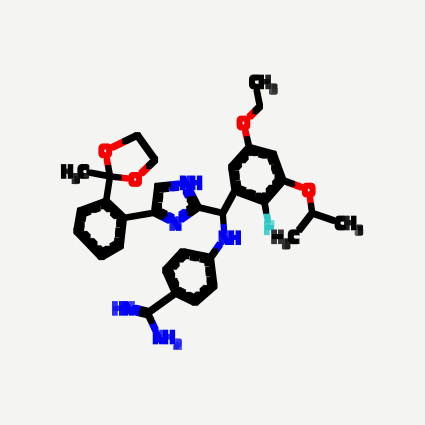 CCOc1cc(OC(C)C)c(F)c(C(Nc2ccc(C(=N)N)cc2)c2nc(-c3ccccc3C3(C)OCCO3)c[nH]2)c1